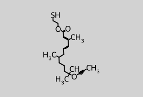 CC#COC(C)(C)CCCC(C)CC=CC(C)=CC(=O)OCCS